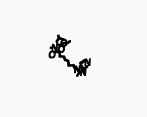 CCOC(=O)[C@H](CC(C)C)N(C)C(=O)CCCCCCCCn1c(C)nc2cnccc21